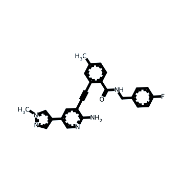 Cc1ccc(C(=O)NCc2ccc(F)cc2)c(C#Cc2cc(-c3cnn(C)c3)cnc2N)c1